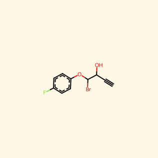 C#CC(O)C(Br)Oc1ccc(F)cc1